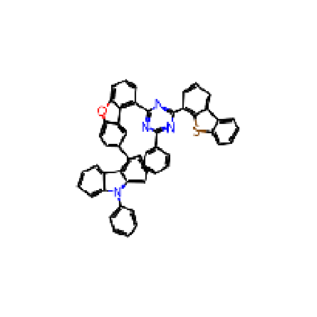 c1ccc(-c2nc(-c3cccc4c3sc3ccccc34)nc(-c3cccc4oc5ccc(-c6cccc7c6c6ccccc6n7-c6ccccc6)cc5c34)n2)cc1